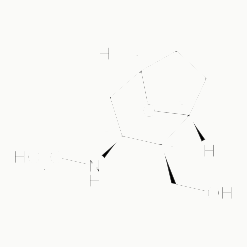 O=C(O)N[C@H]1C[C@H]2CC[C@@H](O2)[C@H]1CO